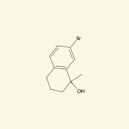 CC1(O)CCCc2ccc(Br)cc21